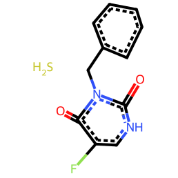 O=c1[nH]cc(F)c(=O)n1Cc1ccccc1.S